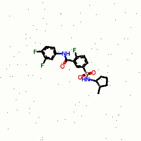 CC1CCCC1NS(=O)(=O)c1ccc(F)c(C(=O)Nc2ccc(F)c(F)c2)c1